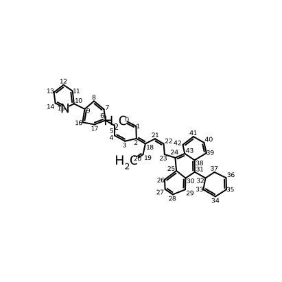 C=CC(/C=C\Cc1ccc(-c2ccccn2)cc1)=C(C=C)\C=C/Cc1c2ccccc2c(C2C=CC=CC2)c2ccccc12